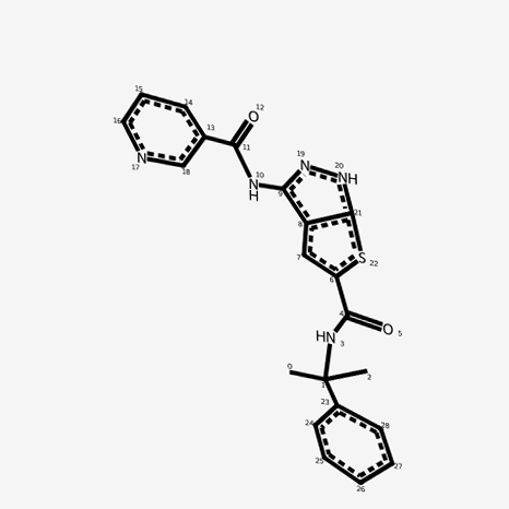 CC(C)(NC(=O)c1cc2c(NC(=O)c3cccnc3)n[nH]c2s1)c1ccccc1